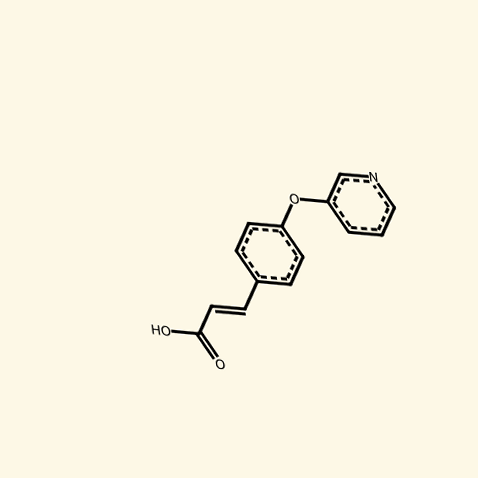 O=C(O)/C=C/c1ccc(Oc2cccnc2)cc1